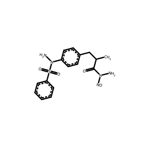 CC(Cc1ccc(N(N)S(=O)(=O)c2ccccc2)cc1)C(=O)N(N)N=O